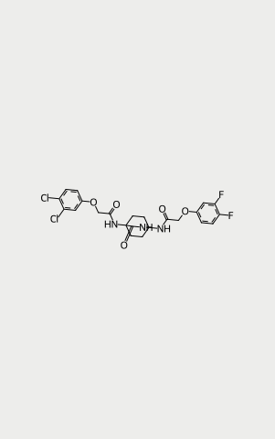 O=C(COc1ccc(F)c(F)c1)NC12CCC(NC(=O)COc3ccc(Cl)c(Cl)c3)(CC1)C(=O)N2